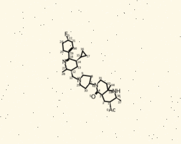 CC(=O)[C@H]1CC2C(=O)N(C3CCN(C[C@@H]4C[C@H](C5CC5)C(C5=CC[C@H](F)CC5)=NC4C)CC3)CCC2(C)N[C@H]1C